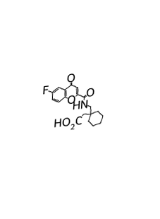 O=C(O)CC1(CNC(=O)c2cc(=O)c3cc(F)ccc3o2)CCCCC1